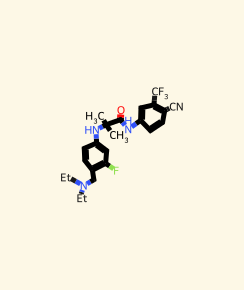 CCN(CC)Cc1ccc(NC(C)(C)C(=O)Nc2ccc(C#N)c(C(F)(F)F)c2)cc1F